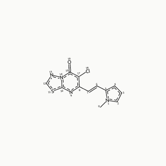 Cn1cccc1/C=C/c1nc2scnn2c(=O)c1Cl